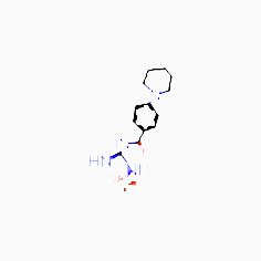 CS(=O)(=O)NC(=N)NC(=O)c1ccc(N2CCCCC2)cc1